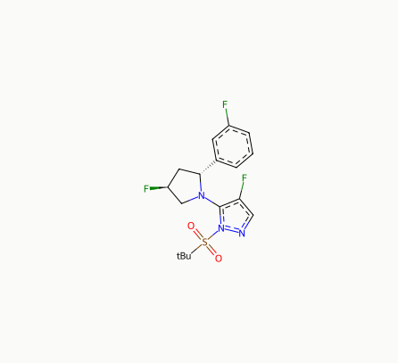 CC(C)(C)S(=O)(=O)n1ncc(F)c1N1C[C@@H](F)C[C@@H]1c1cccc(F)c1